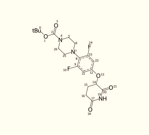 CC(C)(C)OC(=O)N1CCN(c2c(F)cc(OC3CCC(=O)NC3=O)cc2F)CC1